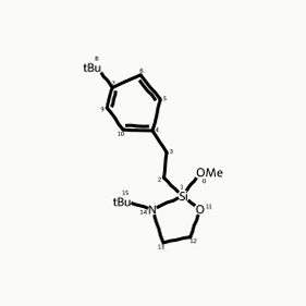 CO[Si]1(CCc2ccc(C(C)(C)C)cc2)OCCN1C(C)(C)C